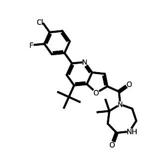 CC(C)(C)c1cc(-c2ccc(Cl)c(F)c2)nc2cc(C(=O)N3CCNC(=O)CC3(C)C)oc12